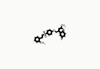 Cc1cc(COc2ccc(S(=O)(=O)C=Cc3ccccc3C)cc2)c2cc(F)ccc2n1